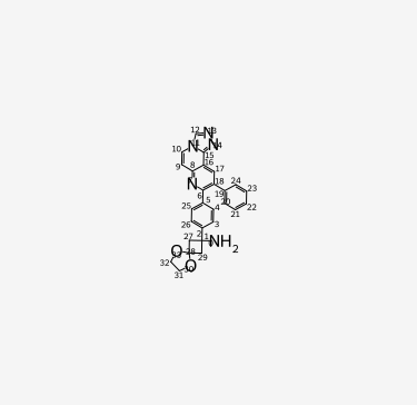 NC1(c2ccc(-c3nc4ccn5cnnc5c4cc3-c3ccccc3)cc2)CC2(C1)OCCO2